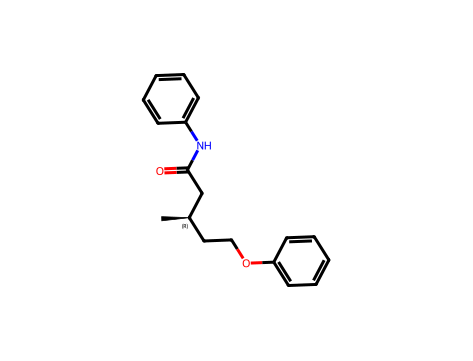 C[C@H](CCOc1ccccc1)CC(=O)Nc1ccccc1